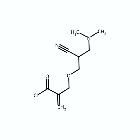 C=C(COCC(C#N)CN(C)C)C(=O)Cl